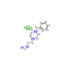 Cl.Cl.NCCN1CCN(Cc2ccccc2)CC1